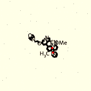 COc1ccc(CN2C3CC2CN(c2cc(F)c(-c4cc(OCCN5C6COCC5C6)cn5ncc(C#N)c45)cc2C)C3)cn1